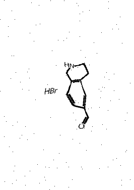 Br.O=Cc1ccc2c(c1)CCNC2